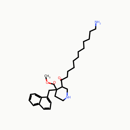 COC(=O)C1(Cc2cccc3ccccc23)CCNCC1C(=O)CCCCCCCCCCCN